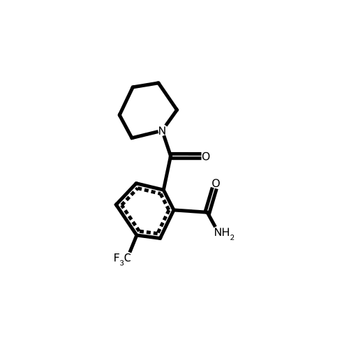 NC(=O)c1cc(C(F)(F)F)ccc1C(=O)N1CCCCC1